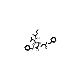 CCCC(=O)N[C@H](C(=O)N[C@@H](CCC(=O)OCc1ccccc1)C(=O)OCc1ccccc1)C(C)C